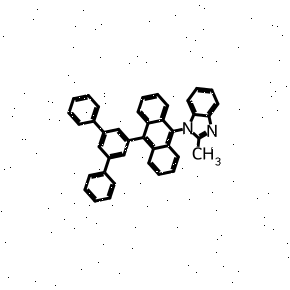 Cc1nc2ccccc2n1-c1c2ccccc2c(-c2cc(-c3ccccc3)cc(-c3ccccc3)c2)c2ccccc12